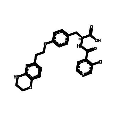 O=C(N[C@@H](Cc1ccc(OCCc2ccc3c(n2)NCCO3)cc1)C(=O)O)c1ccncc1Cl